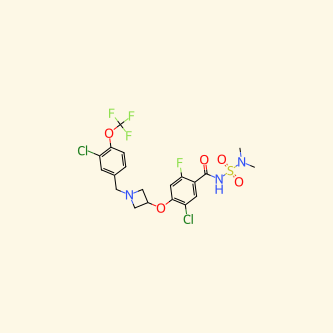 CN(C)S(=O)(=O)NC(=O)c1cc(Cl)c(OC2CN(Cc3ccc(OC(F)(F)F)c(Cl)c3)C2)cc1F